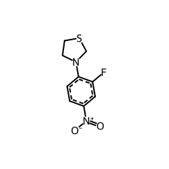 O=[N+]([O-])c1ccc(N2CCSC2)c(F)c1